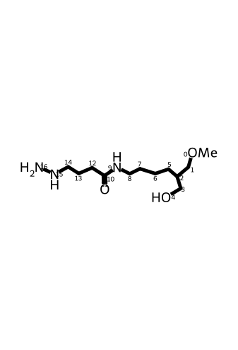 COCC(CO)CCCCNC(=O)CCCNN